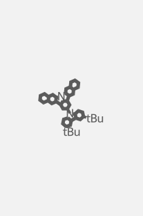 CC(C)(C)c1ccc2c(c1)c1cc(C(C)(C)C)ccc1n2-c1cc2c3cc4ccccc4cc3n3c4cc5ccccc5cc4c(c1)c23